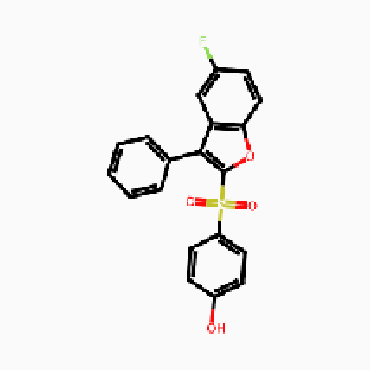 O=S(=O)(c1ccc(O)cc1)c1oc2ccc(F)cc2c1-c1ccccc1